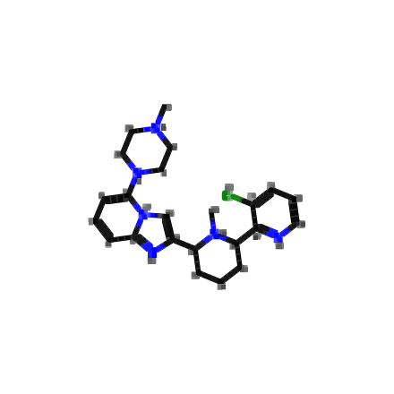 CN1CCN(c2cccc3nc(C4CCCC(c5ncccc5Cl)N4C)cn23)CC1